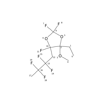 CCC1(OC)OC(F)(F)OC1(F)CC(F)(F)C(C)(F)F